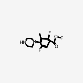 Cc1c(F)c(C(=O)OF)cc(F)c1N1CCNCC1